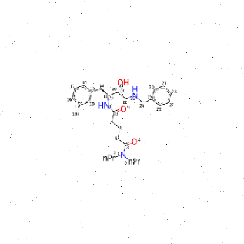 CCCN(CCC)C(=O)CCCC(=O)N[C@@H](Cc1cccc(C)c1)[C@H](O)CNCc1ccccc1